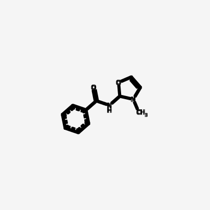 CN1C=COC1NC(=O)c1ccccc1